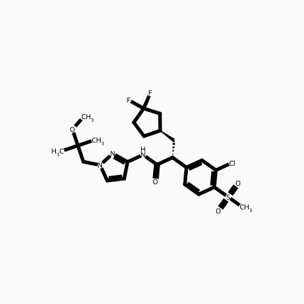 COC(C)(C)Cn1ccc(NC(=O)[C@H](C[C@H]2CCC(F)(F)C2)c2ccc(S(C)(=O)=O)c(Cl)c2)n1